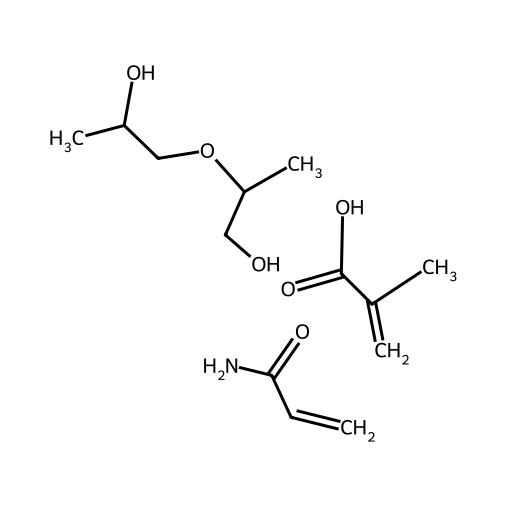 C=C(C)C(=O)O.C=CC(N)=O.CC(O)COC(C)CO